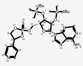 CC(C)(C)[Si](C)(C)O[C@@H]1[C@H](O[Si](C)(C)C(C)(C)C)[C@@H](COP2(=S)OCC(c3ccncc3)O2)O[C@H]1n1cnc2c(N)ncnc21